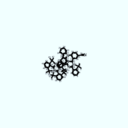 CC(C)(C)c1ccccc1-c1nc(-c2cc(C#N)ccc2-n2c3ccccc3c3cc(-c4nc(-c5c(C(C)(C)C)cccc5C(C)(C)C)nc(-c5c(C(C)(C)C)cccc5C(C)(C)C)n4)ccc32)nc(-c2ccccc2C(C)(C)C)n1